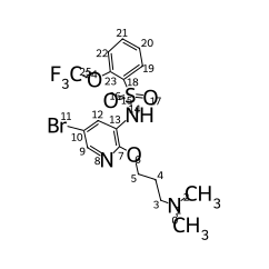 CN(C)CCCOc1ncc(Br)cc1NS(=O)(=O)c1ccccc1OC(F)(F)F